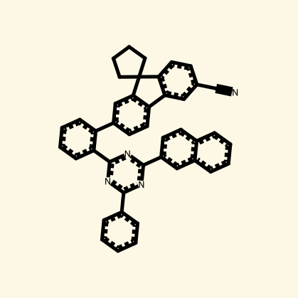 N#Cc1ccc2c(c1)-c1ccc(-c3ccccc3-c3nc(-c4ccccc4)nc(-c4ccc5ccccc5c4)n3)cc1C21CCCC1